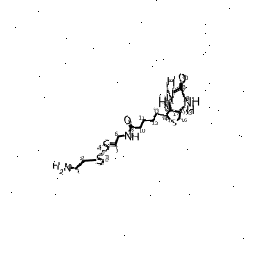 NCCSSCCNC(=O)CCCC[C@@H]1SC[C@@H]2NC(=O)N[C@@H]21